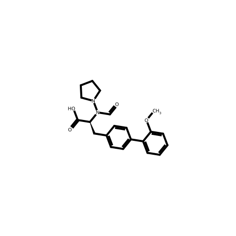 COc1ccccc1-c1ccc(C[C@@H](C(=O)O)N(C=O)N2CCCC2)cc1